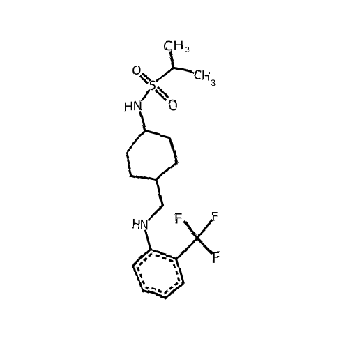 CC(C)S(=O)(=O)NC1CCC(CNc2ccccc2C(F)(F)F)CC1